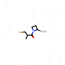 CC(CS)C(=O)N1CCC1C(=O)O